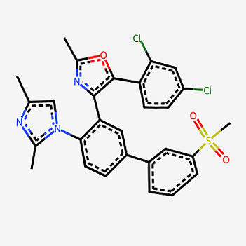 Cc1cn(-c2ccc(-c3cccc(S(C)(=O)=O)c3)cc2-c2nc(C)oc2-c2ccc(Cl)cc2Cl)c(C)n1